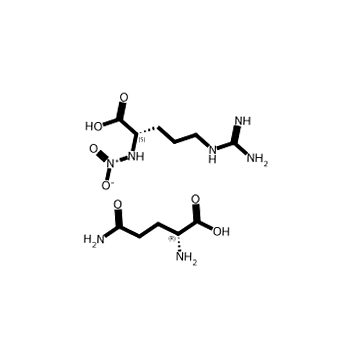 N=C(N)NCCC[C@H](N[N+](=O)[O-])C(=O)O.NC(=O)CC[C@@H](N)C(=O)O